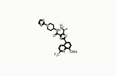 COc1ccc(-c2nc(C(=O)NC3CCN(c4nccs4)CC3)c([C@H](C)N)o2)c2ccc(C(F)(F)F)nc12